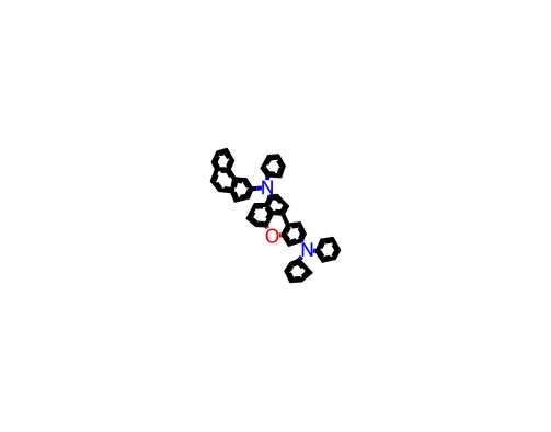 c1ccc(N(c2ccccc2)c2ccc3c(c2)Oc2cccc4c(N(c5ccccc5)c5ccc6ccc7ccccc7c6c5)ccc-3c24)cc1